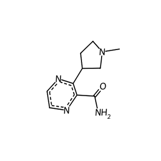 CN1CCC(c2nccnc2C(N)=O)C1